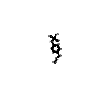 O=C=Nc1ccc(OC(F)(F)Br)cc1